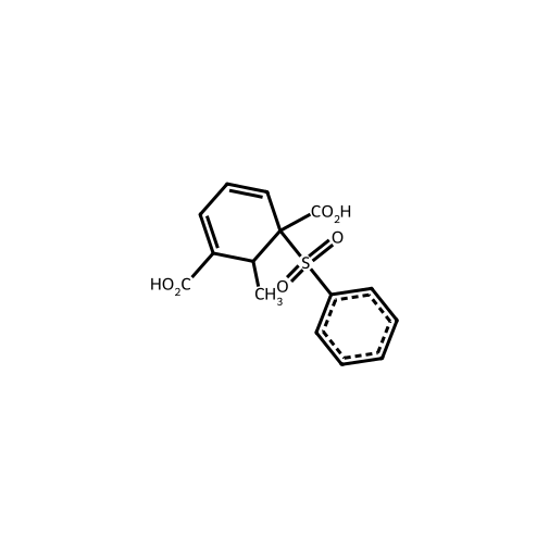 CC1C(C(=O)O)=CC=CC1(C(=O)O)S(=O)(=O)c1ccccc1